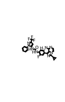 Nc1nccn2c(C3CC3)nc(-c3ccc(NC(=O)Nc4cc(C(F)(F)F)nn4-c4ccccc4)c(F)c3)c12